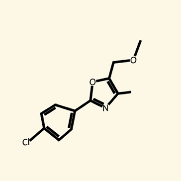 COCc1oc(-c2ccc(Cl)cc2)nc1C